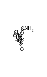 NCC(=O)N1CCC(COC(=O)Nc2ccc(-c3ccccc3)cn2)(N(C=O)Cc2ccccc2Cl)CC1